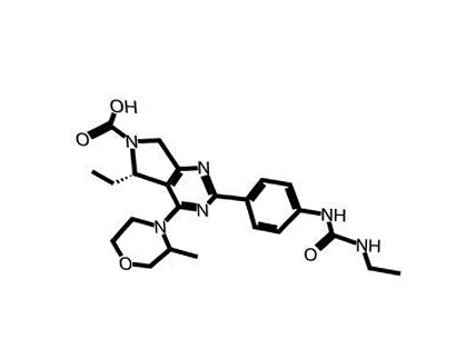 CCNC(=O)Nc1ccc(-c2nc3c(c(N4CCOCC4C)n2)[C@H](CC)N(C(=O)O)C3)cc1